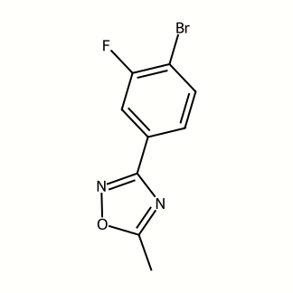 Cc1nc(-c2ccc(Br)c(F)c2)no1